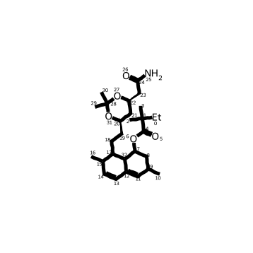 CCC(C)(C)C(=O)OC1CC(C)C=C2C=CC(C)C(CC[C@@H]3C[C@H](CC(N)=O)OC(C)(C)O3)C21